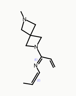 C=C/C(=N\C=C/C)N1CC2(CN(C)C2)C1